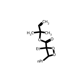 C=CC(C)(C)OC(=O)C1(CC)OOC1CCC